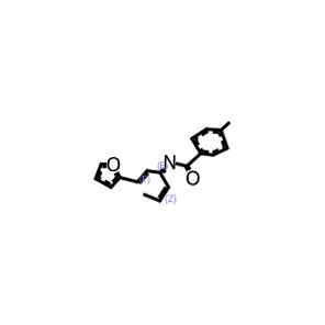 C\C=C/C(/C=C/c1ccco1)=N\C(=O)c1ccc(C)cc1